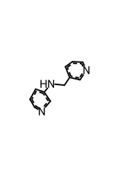 c1cncc(CNc2cccnc2)c1